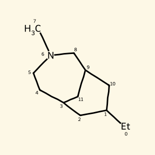 CCC1CC2CCN(C)CC(C1)C2